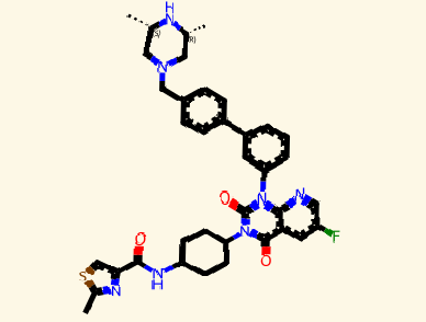 Cc1nc(C(=O)NC2CCC(n3c(=O)c4cc(F)cnc4n(-c4cccc(-c5ccc(CN6C[C@@H](C)N[C@@H](C)C6)cc5)c4)c3=O)CC2)cs1